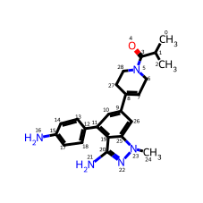 CC(C)C(=O)N1CC=C(c2cc(-c3ccc(N)cc3)c3c(N)nn(C)c3c2)CC1